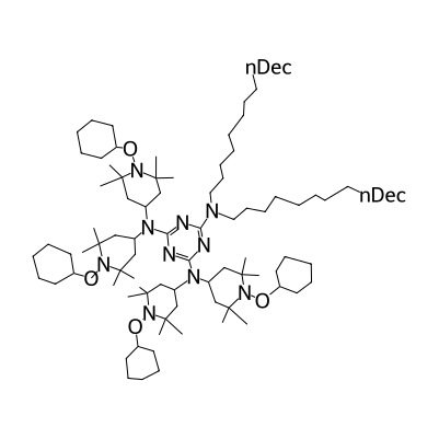 CCCCCCCCCCCCCCCCCCN(CCCCCCCCCCCCCCCCCC)c1nc(N(C2CC(C)(C)N(OC3CCCCC3)C(C)(C)C2)C2CC(C)(C)N(OC3CCCCC3)C(C)(C)C2)nc(N(C2CC(C)(C)N(OC3CCCCC3)C(C)(C)C2)C2CC(C)(C)N(OC3CCCCC3)C(C)(C)C2)n1